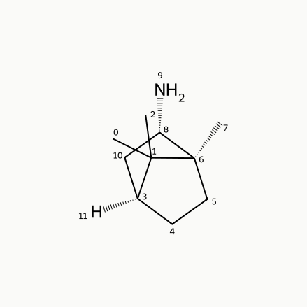 CC1(C)[C@H]2CC[C@]1(C)[C@@H](N)C2